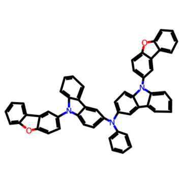 c1ccc(N(c2ccc3c(c2)c2ccccc2n3-c2ccc3oc4ccccc4c3c2)c2ccc3c(c2)c2ccccc2n3-c2ccc3oc4ccccc4c3c2)cc1